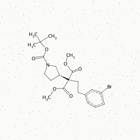 COC(=O)C(CCc1cccc(Br)c1)(C(=O)OC)[C@H]1CCN(C(=O)OC(C)(C)C)C1